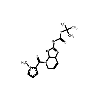 Cn1cccc1C(=O)N1CC=CC2N=C(NC(=O)OC(C)(C)C)NC21